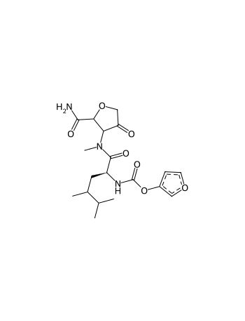 CC(C)C(C)C[C@H](NC(=O)Oc1ccoc1)C(=O)N(C)C1C(=O)COC1C(N)=O